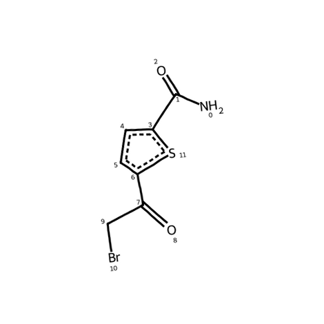 NC(=O)c1ccc(C(=O)CBr)s1